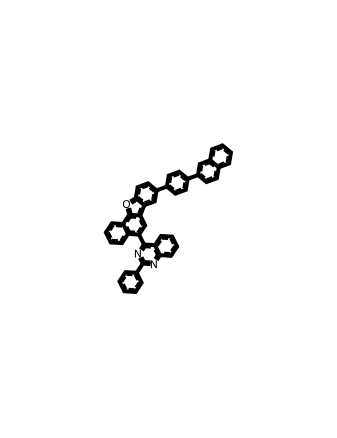 c1ccc(-c2nc(-c3cc4c5cc(-c6ccc(-c7ccc8ccccc8c7)cc6)ccc5oc4c4ccccc34)c3ccccc3n2)cc1